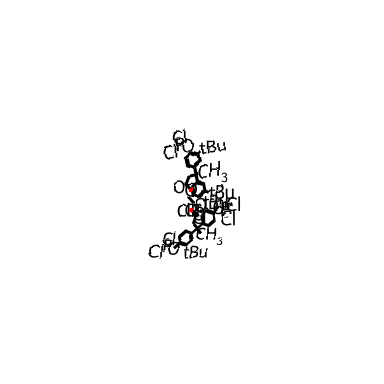 CC(C)(C)c1cc(C(C)(CC(=O)OCCOC(=O)CC(C)(c2ccc(OP(Cl)Cl)c(C(C)(C)C)c2)c2ccc(OP(Cl)Cl)c(C(C)(C)C)c2)c2ccc(OP(Cl)Cl)c(C(C)(C)C)c2)ccc1OP(Cl)Cl